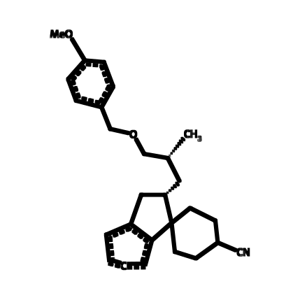 COc1ccc(COC[C@H](C)C[C@H]2Cc3ccccc3C23CCC(C#N)CC3)cc1